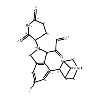 O=CC(=O)C1c2c(cc(F)cc2C2C3CNCC2C3)CN1C1CCC(=O)NC1=O